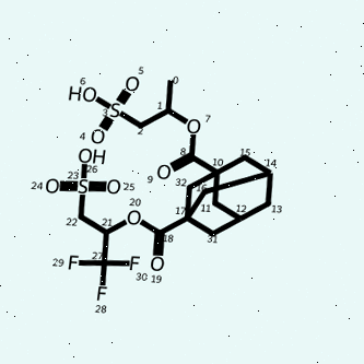 CC(CS(=O)(=O)O)OC(=O)C12CC3CC(C1)CC(C(=O)OC(CS(=O)(=O)O)C(F)(F)F)(C3)C2